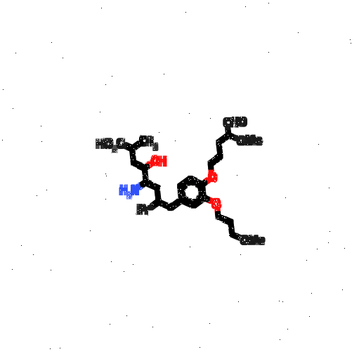 COCCCOc1cc(CC(CC(N)C(O)CC(C)C(=O)O)C(C)C)ccc1OCCCC(C=O)OC